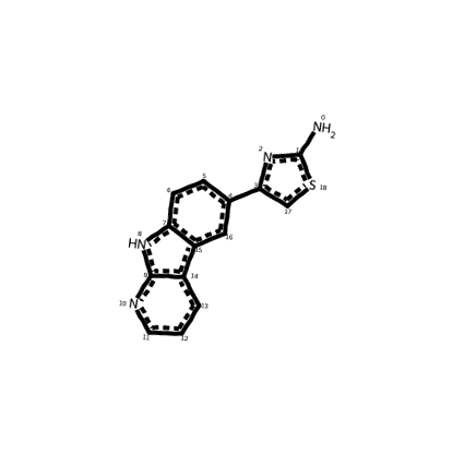 Nc1nc(-c2ccc3[nH]c4ncccc4c3c2)cs1